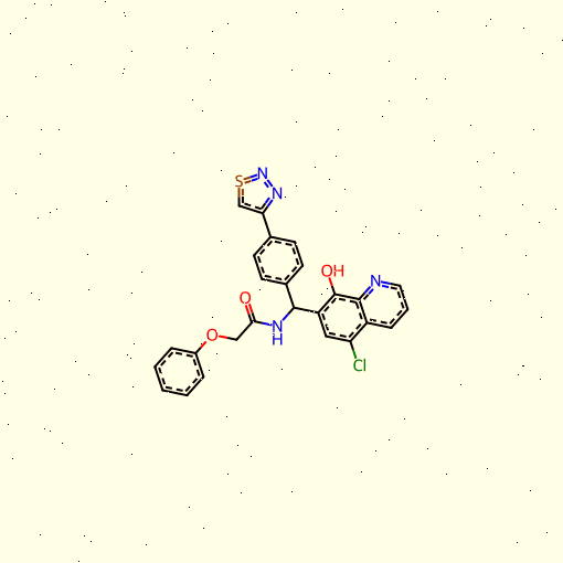 O=C(COc1ccccc1)NC(c1ccc(-c2csnn2)cc1)c1cc(Cl)c2cccnc2c1O